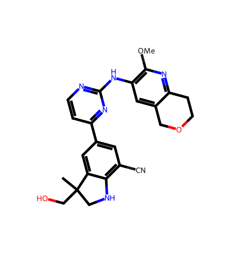 COc1nc2c(cc1Nc1nccc(-c3cc(C#N)c4c(c3)C(C)(CO)CN4)n1)COCC2